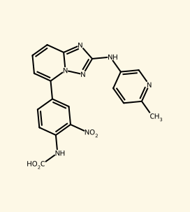 Cc1ccc(Nc2nc3cccc(-c4ccc(NC(=O)O)c([N+](=O)[O-])c4)n3n2)cn1